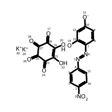 O=[N+]([O-])c1ccc(N=Nc2ccc([O-])cc2[O-])cc1.O=c1c(O)c(O)c(=O)c(=O)c1=O.[K+].[K+]